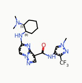 CN(C)[C@H]1CCCC[C@H]1Nc1ccn2ncc(C(=O)Nc3cn(C)nc3C(F)(F)F)c2n1